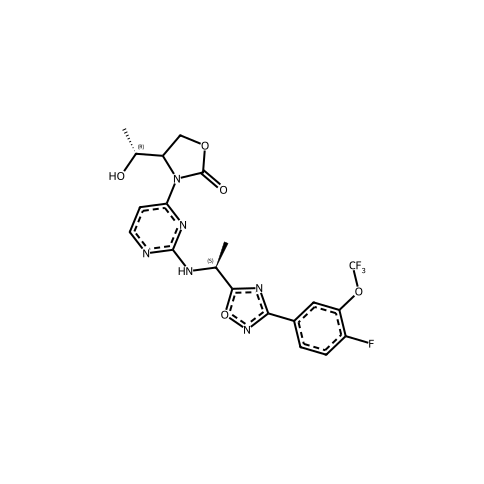 C[C@H](Nc1nccc(N2C(=O)OCC2[C@@H](C)O)n1)c1nc(-c2ccc(F)c(OC(F)(F)F)c2)no1